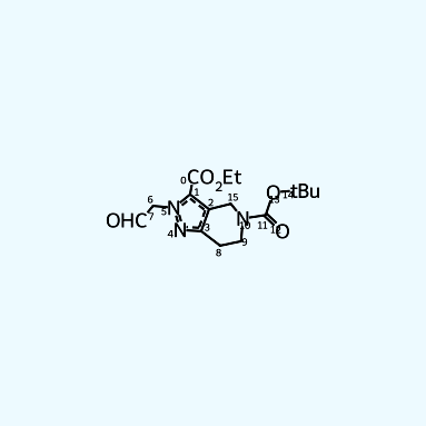 CCOC(=O)c1c2c(nn1CC=O)CCN(C(=O)OC(C)(C)C)C2